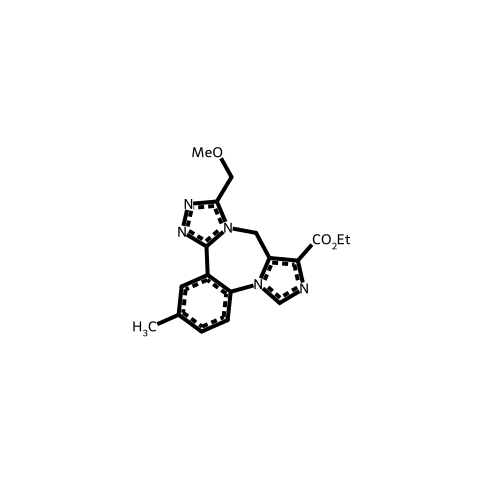 CCOC(=O)c1ncn2c1Cn1c(COC)nnc1-c1cc(C)ccc1-2